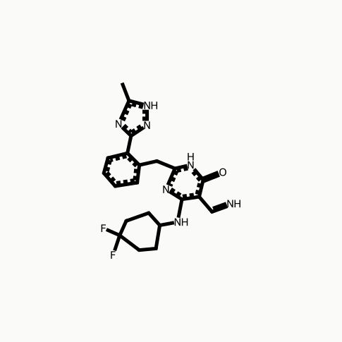 Cc1nc(-c2ccccc2Cc2nc(NC3CCC(F)(F)CC3)c(C=N)c(=O)[nH]2)n[nH]1